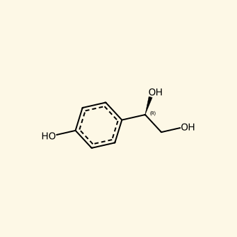 OC[C@H](O)c1ccc(O)cc1